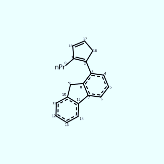 CCCC1=C(c2cccc3c2[CH]c2ccccc2-3)CC=C1